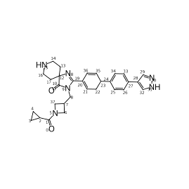 O=C(C1CC1)N1CC(CN2C(=O)C3(CCNCC3)N=C2C2=CCC(c3ccc(-c4cn[nH]c4)cc3)C=C2)C1